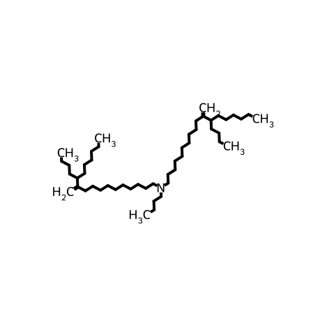 C=C(CCCCCCCCCCN(CCCC)CCCCCCCCCCC(=C)C(CCCC)CCCCCC)C(CCCC)CCCCCC